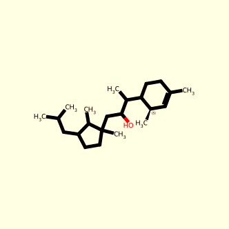 CC1=C[C@@H](C)C(C(C)C(O)CC2(C)CCC(CC(C)C)C2C)CC1